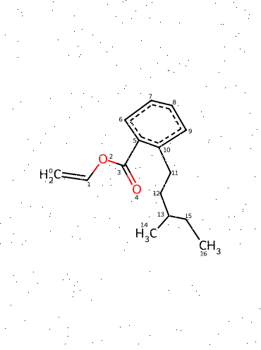 C=COC(=O)c1ccccc1CCC(C)CC